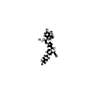 C[C@@H](Cn1ccc(C(=O)N2CCN(c3ncc(C(F)(F)F)cn3)C[C@@H]2CC#N)c1)Nc1cn[nH]c(=O)c1C(F)(F)F